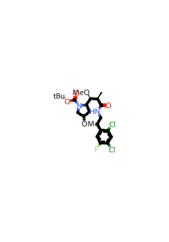 COC1CC([C@H](OC)[C@@H](C)C(=O)NCCc2cc(F)c(Cl)cc2Cl)N(C(=O)OC(C)(C)C)C1